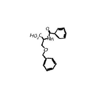 O=C(NC(COCc1ccccc1)C(=O)O)c1ccccc1